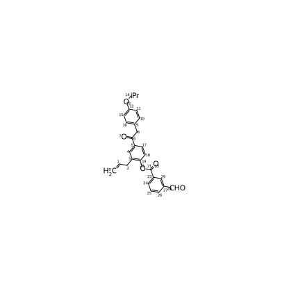 C=CCc1cc(C(=O)Cc2ccc(OC(C)C)cc2)ccc1OC(=O)c1cccc(C=O)c1